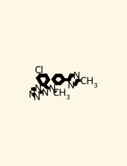 Cc1cnc(-c2cccc(N(C)c3nc4nncn4c4cc(Cl)ccc34)c2)cn1